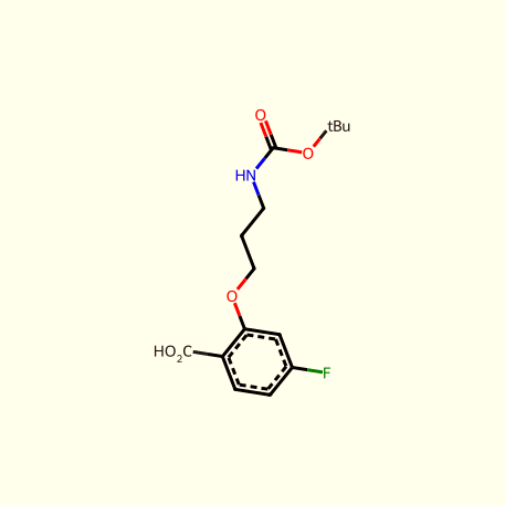 CC(C)(C)OC(=O)NCCCOc1cc(F)ccc1C(=O)O